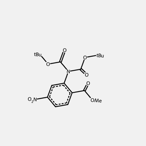 COC(=O)c1ccc([N+](=O)[O-])cc1N(C(=O)OC(C)(C)C)C(=O)OC(C)(C)C